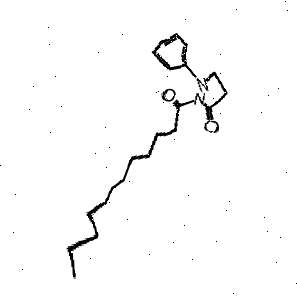 CCCCCCCCCCCC(=O)N1C(=O)CCN1c1ccccc1